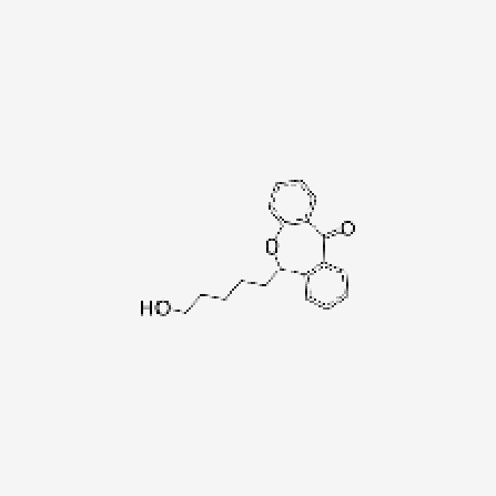 O=C1c2ccccc2OC(CCCCCO)c2ccccc21